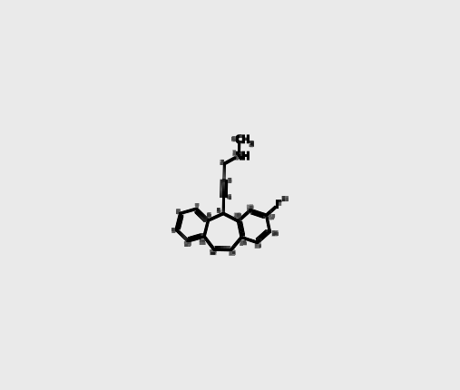 CNCC#CC1c2ccccc2C=Cc2ccc(F)cc21